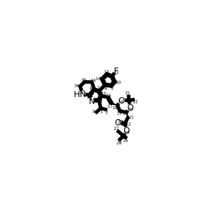 CC(C)c1nc2c(c(-c3ccc(F)cc3)c1C=C[C@@H]1C[C@H](CC(=O)OC(C)(C)C)OC(C)(C)O1)CCCN2